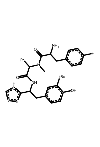 CC(C)C(C(=O)NC(Cc1ccc(O)c(C(C)(C)C)c1)c1nnc[nH]1)N(C)C(=O)C(N)Cc1ccc(F)cc1